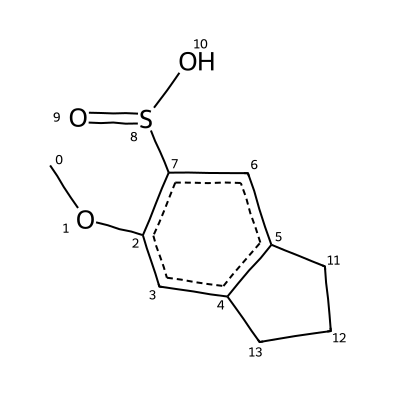 COc1cc2c(cc1S(=O)O)CCC2